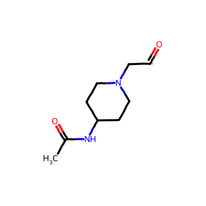 CC(=O)NC1CCN(C[C]=O)CC1